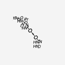 CC(C)[C@@H](NC(=O)OC(C)(C)C)C(=O)N1CCC[C@H]1c1ncc(-c2ccc(C#Cc3ccc(-c4cnc([C@@H]5CCCN5)[nH]4)cc3)cc2)[nH]1